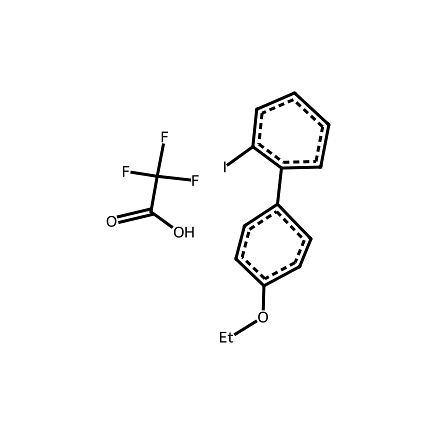 CCOc1ccc(-c2ccccc2I)cc1.O=C(O)C(F)(F)F